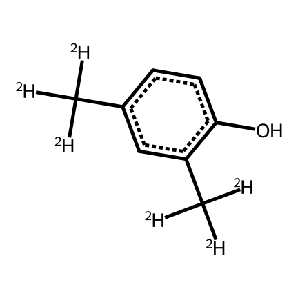 [2H]C([2H])([2H])c1ccc(O)c(C([2H])([2H])[2H])c1